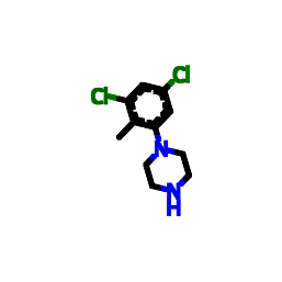 Cc1c(Cl)cc(Cl)cc1N1CCNCC1